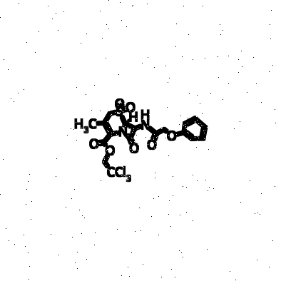 CC1=C(C(=O)OCC(Cl)(Cl)Cl)N2C(=O)C(NC(=O)COc3ccccc3)[C@@H]2S(=O)(=O)C1